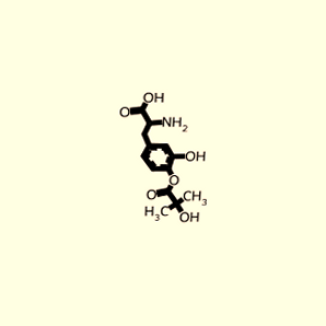 CC(C)(O)C(=O)Oc1ccc(CC(N)C(=O)O)cc1O